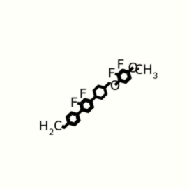 C=Cc1ccc(-c2ccc(C3CCC(COc4ccc(OC)c(F)c4F)CC3)c(F)c2F)cc1